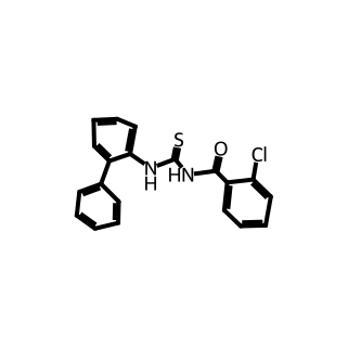 O=C(NC(=S)Nc1ccccc1-c1ccccc1)c1ccccc1Cl